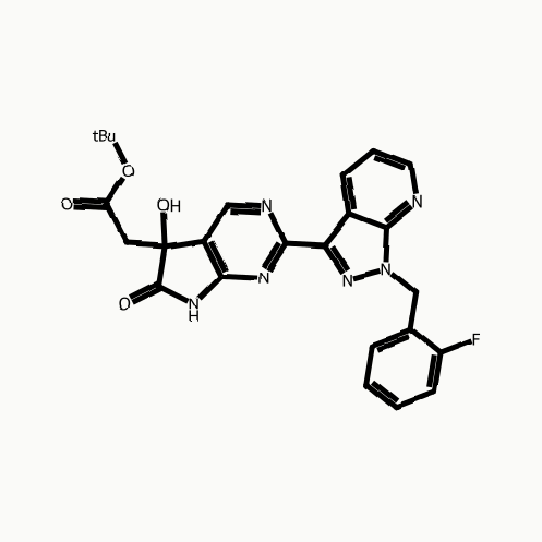 CC(C)(C)OC(=O)CC1(O)C(=O)Nc2nc(-c3nn(Cc4ccccc4F)c4ncccc34)ncc21